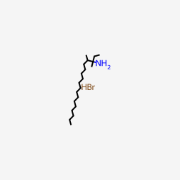 Br.CCCCCCCCCCCCCCC(C)C(C)(N)CC